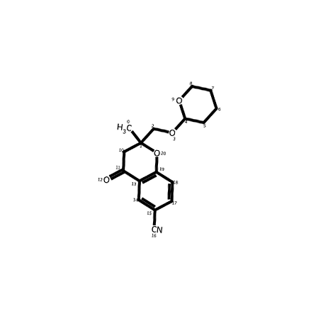 CC1(COC2CCCCO2)CC(=O)c2cc(C#N)ccc2O1